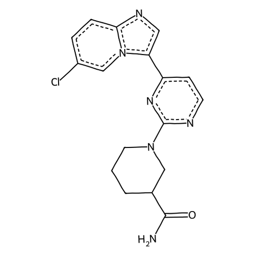 NC(=O)C1CCCN(c2nccc(-c3cnc4ccc(Cl)cn34)n2)C1